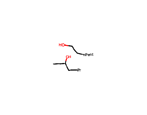 CC(C)CC(C)O.CCCCCCCO